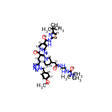 COc1ccc(Cn2nnnc2/C=C/c2c(N3CCCC(CC(=O)NCCNC(=O)[N+](C)(C)C)C3)nc3cc(C(=O)Nc4nc(C(C)(C)C)cs4)ccn3c2=O)cc1